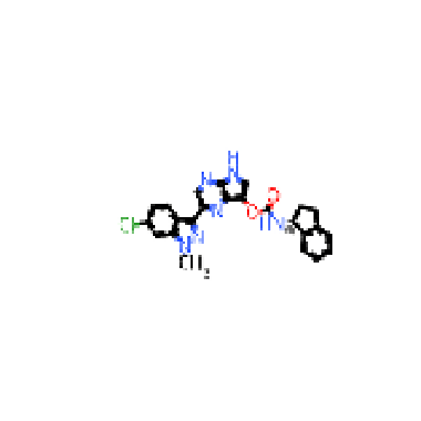 Cn1nc(-c2cnc3[nH]cc(OC(=O)N[C@@H]4CCc5ccccc54)c3n2)c2ccc(Cl)cc21